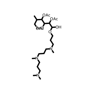 CC(=O)OCC(C)C(OC(C)=O)C(OC(C)=O)C(OC(C)=O)C(O)OCCCN(C)CCCN(C)CCCN(C)C